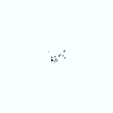 O.O.[I-].[I-].[Zn+2]